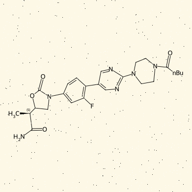 CCCCC(=O)N1CCN(c2ncc(-c3ccc(N4CC([C@H](C)C(N)=O)OC4=O)cc3F)cn2)CC1